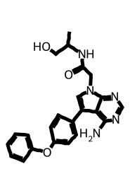 CC(CO)NC(=O)Cn1cc(-c2ccc(Oc3ccccc3)cc2)c2c(N)ncnc21